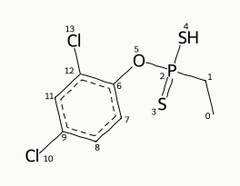 CCP(=S)(S)Oc1ccc(Cl)cc1Cl